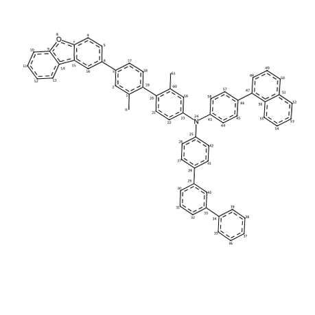 Cc1cc(-c2ccc3oc4ccccc4c3c2)ccc1-c1ccc(N(c2ccc(-c3cccc(-c4ccccc4)c3)cc2)c2ccc(-c3cccc4ccccc34)cc2)cc1C